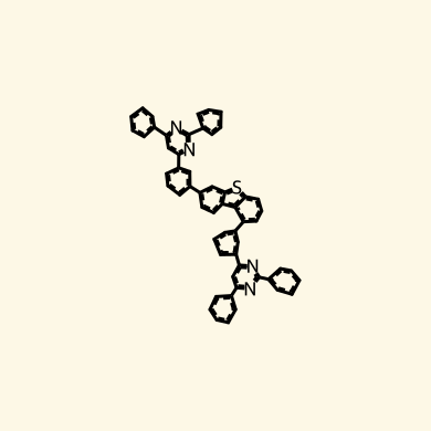 c1ccc(-c2cc(-c3cccc(-c4ccc5c(c4)sc4cccc(-c6cccc(-c7cc(-c8ccccc8)nc(-c8ccccc8)n7)c6)c45)c3)nc(-c3ccccc3)n2)cc1